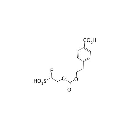 O=C(OCCc1ccc(C(=O)O)cc1)OCC(F)S(=O)(=O)O